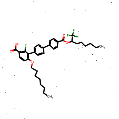 CCCCCCCCOc1ccc(C(=O)O)c(F)c1-c1ccc(-c2ccc(C(=O)OC(CCCCCC)C(F)(F)F)cc2)cc1